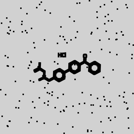 C=C(C)CN(C)Cc1ccc(-c2ccc(C(=O)c3ccccc3)cc2)cc1.Cl